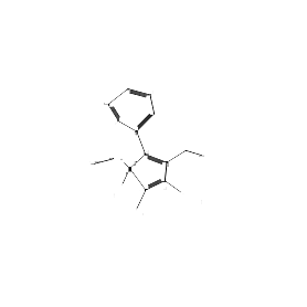 CCC1=C(c2ccccc2)C(C)([SiH2]Cl)C(C)=C1C